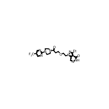 CCc1nn(CCOCCC(=O)N2CCN(c3ncc(C(F)(F)F)cn3)CC2)c2cn[nH]c(=O)c12